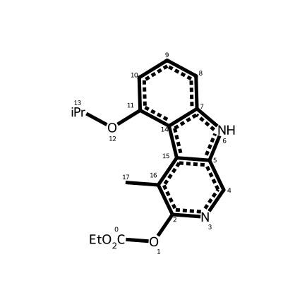 CCOC(=O)Oc1ncc2[nH]c3cccc(OC(C)C)c3c2c1C